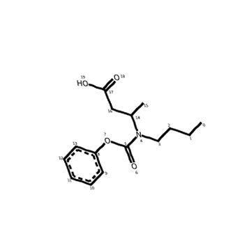 CCCCN(C(=O)Oc1ccccc1)C(C)CC(=O)O